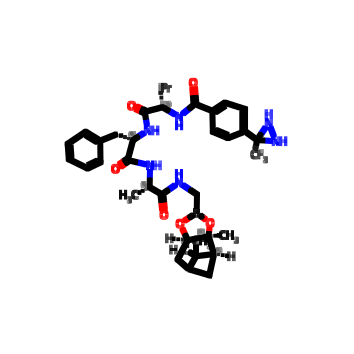 CC(C)[C@H](NC(=O)c1ccc(C2(C(F)(F)F)NN2)cc1)C(=O)N[C@@H](Cc1ccccc1)C(=O)N[C@@H](C)C(=O)NCB1O[C@@H]2CC3C[C@@H](C3(C)C)[C@]2(C)O1